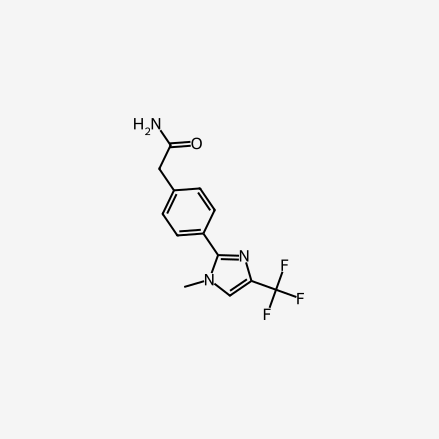 Cn1cc(C(F)(F)F)nc1-c1ccc(CC(N)=O)cc1